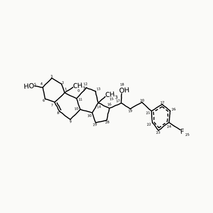 CC12CCC(O)CC1=CCC1C2CCC2(C)C(C(O)CCc3ccc(F)cc3)CCC12